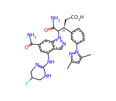 Cc1cc(C)n(-c2cccc([C@H](CC(=O)O)C(C(N)=O)n3ncc4c(NC5=NCC(F)CN5)cc(C(N)=O)cc43)c2)n1